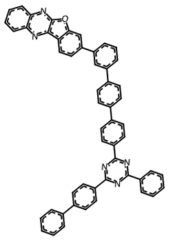 c1ccc(-c2ccc(-c3nc(-c4ccccc4)nc(-c4ccc(-c5ccc(-c6cccc(-c7ccc8c(c7)oc7nc9ccccc9nc78)c6)cc5)cc4)n3)cc2)cc1